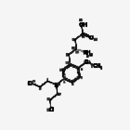 COc1ccc(N(CCCl)CCCl)cc1C[C@@H](N)CC(=O)O